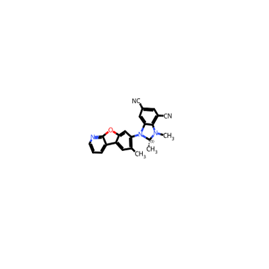 Cc1cc2c(cc1N1c3cc(C#N)cc(C#N)c3N(C)[C@@H]1C)oc1ncccc12